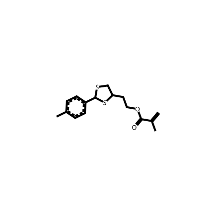 C=C(C)C(=O)OCCC1CSC(c2ccc(C)cc2)S1